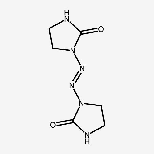 O=C1NCCN1N=NN1CCNC1=O